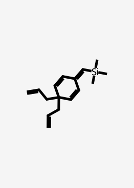 C=CCC1(CC=C)C=CC(=C[Si](C)(C)C)C=C1